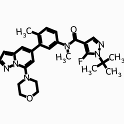 Cc1ccc(N(C)C(=O)c2cnn(C(C)(C)C)c2F)cc1-c1cc(N2CCOCC2)n2nccc2c1